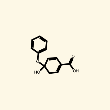 O=C(O)C1=CCC(O)(Oc2ccccc2)C=C1